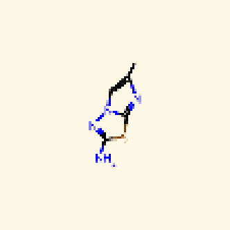 Cc1cn2nc(N)sc2n1